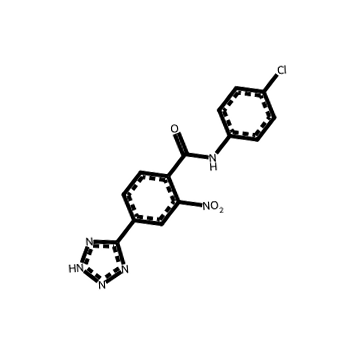 O=C(Nc1ccc(Cl)cc1)c1ccc(-c2nn[nH]n2)cc1[N+](=O)[O-]